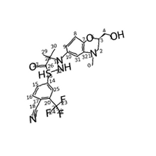 CN1C[C@H](CO)Oc2ccc(N3N[SH](c4ccc(C#N)c(C(F)(F)F)c4)C(=O)C3(C)C)cc21